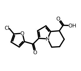 O=C(c1ccc(Cl)o1)c1ccc2n1CCCC2C(=O)O